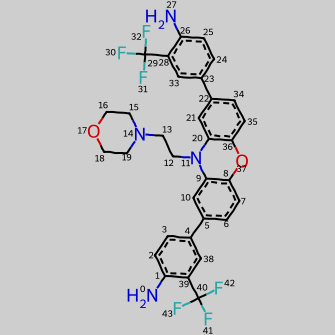 Nc1ccc(-c2ccc3c(c2)N(CCN2CCOCC2)c2cc(-c4ccc(N)c(C(F)(F)F)c4)ccc2O3)cc1C(F)(F)F